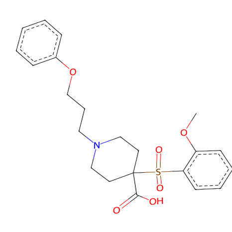 COc1ccccc1S(=O)(=O)C1(C(=O)O)CCN(CCCOc2ccccc2)CC1